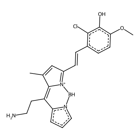 COc1ccc(/C=C/C2=[N+]3Bn4cccc4C(CCN)=C3C(C)=C2)c(Cl)c1O